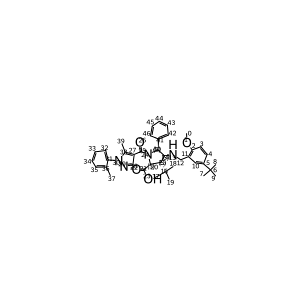 COc1ccc(C(C)(C)C)cc1CN[C@H]1[C@H](C(C)(C)C)[C@@H](C(=O)O)N(C(=O)c2cnn(-c3ccccc3C)c2C)[C@H]1c1ccccc1